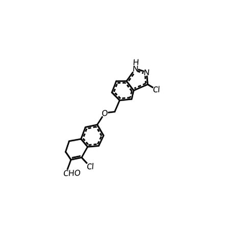 O=CC1=C(Cl)c2ccc(OCc3ccc4[nH]nc(Cl)c4c3)cc2CC1